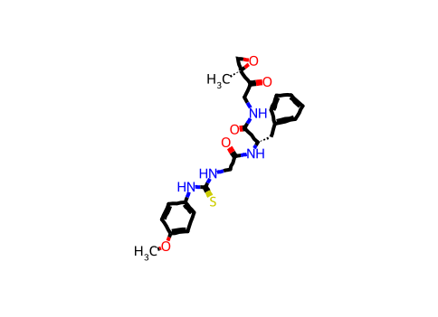 COc1ccc(NC(=S)NCC(=O)N[C@@H](Cc2ccccc2)C(=O)NCC(=O)[C@@]2(C)CO2)cc1